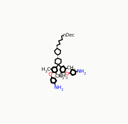 CCCCCCCCCCCCCCC[C@H]1CC[C@H](C2CCC(c3cc(C)c(Oc4ccc(N)cc4)c(C)c3)(c3cc(C)c(Oc4ccc(N)cc4)c(C)c3)CC2)CC1